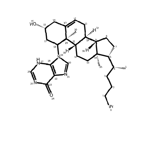 CC(C)CCC[C@@H](C)[C@H]1CC[C@H]2[C@@H]3CC=C4C[C@@H](O)CC(n5cnc6c(=O)nc[nH]c65)[C@]4(C)[C@H]3CC[C@]12C